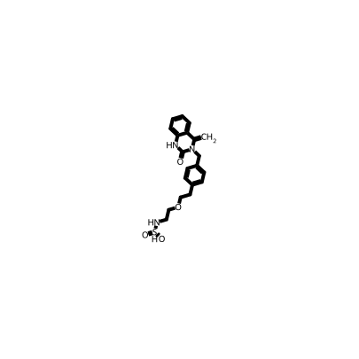 C=C1c2ccccc2NC(=O)N1Cc1ccc(CCOCCN[SH](=O)=O)cc1